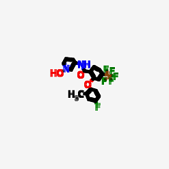 Cc1cc(F)ccc1Oc1cc(S(F)(F)(F)(F)F)ccc1C(=O)Nc1ccc[n+](O)c1